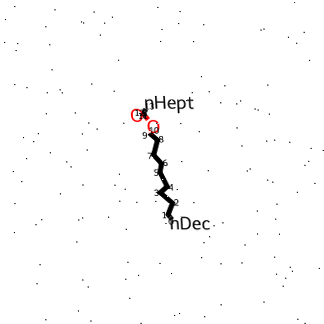 CCCCCCCCCCCCCCCCCCCOC(=O)CCCCCCC